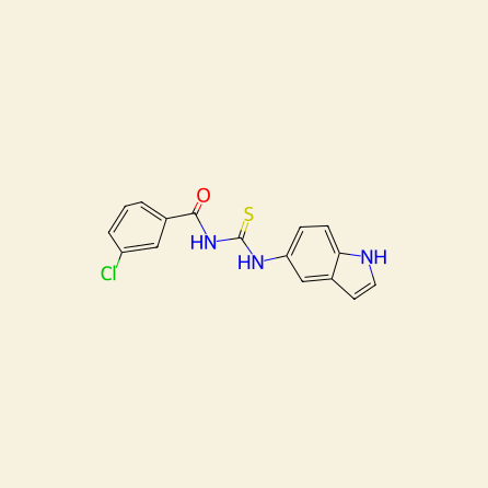 O=C(NC(=S)Nc1ccc2[nH]ccc2c1)c1cccc(Cl)c1